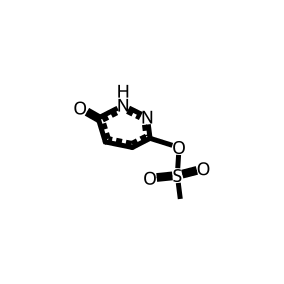 CS(=O)(=O)Oc1ccc(=O)[nH]n1